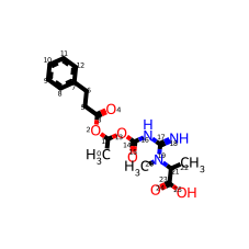 CC(OC(=O)CCc1ccccc1)OC(=O)NC(=N)N(C)C(C)C(=O)O